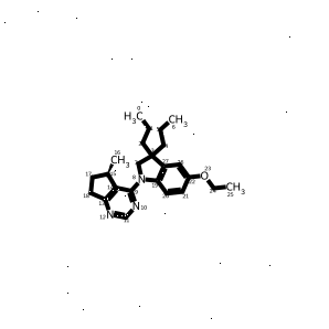 CCCC1(CCC)CN(c2ncnc3c2[C@H](C)CC3)c2ccc(OCC)cc21